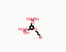 ON(O)OCc1cc(CON(O)O)cc(OCCCCBr)c1